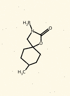 BN1CC2(CCC(C)CC2)OC1=O